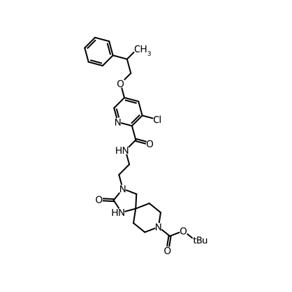 CC(COc1cnc(C(=O)NCCN2CC3(CCN(C(=O)OC(C)(C)C)CC3)NC2=O)c(Cl)c1)c1ccccc1